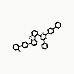 Cc1ccccc1-c1ccc(-c2cccc3c2oc2cccc(-c4nc(-c5ccccc5)nc(-c5ccc(-c6ccccc6)cc5)n4)c23)cc1